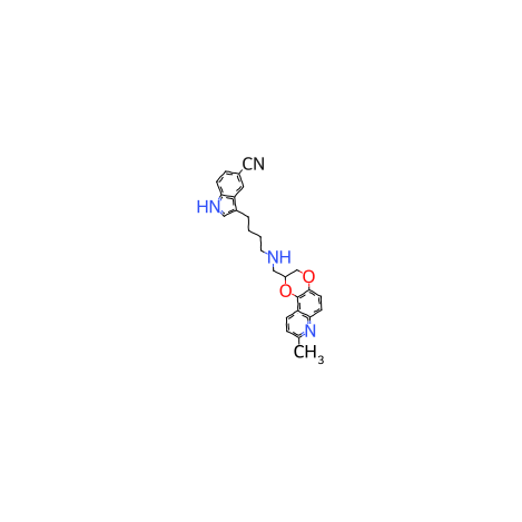 Cc1ccc2c3c(ccc2n1)OCC(CNCCCCc1c[nH]c2ccc(C#N)cc12)O3